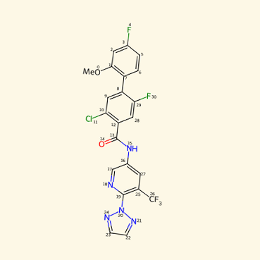 COc1cc(F)ccc1-c1cc(Cl)c(C(=O)Nc2cnc(-n3nccn3)c(C(F)(F)F)c2)cc1F